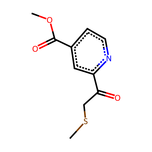 COC(=O)c1ccnc(C(=O)CSC)c1